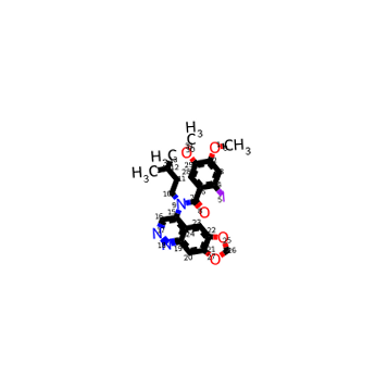 COc1cc(I)c(C(=O)N(CCC(C)C)c2cnnc3cc4c(cc23)OCO4)cc1OC